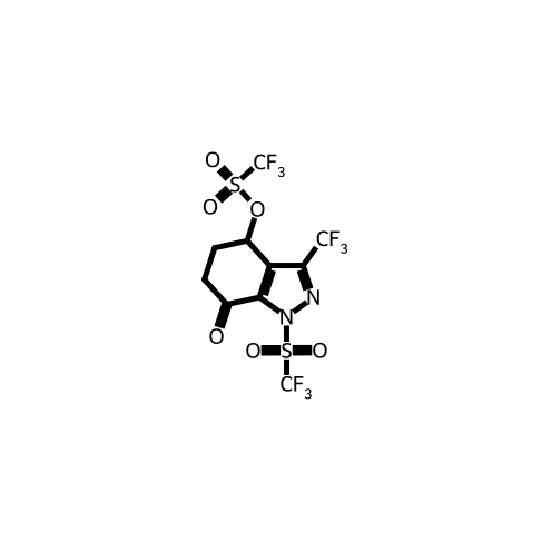 O=C1CCC(OS(=O)(=O)C(F)(F)F)c2c(C(F)(F)F)nn(S(=O)(=O)C(F)(F)F)c21